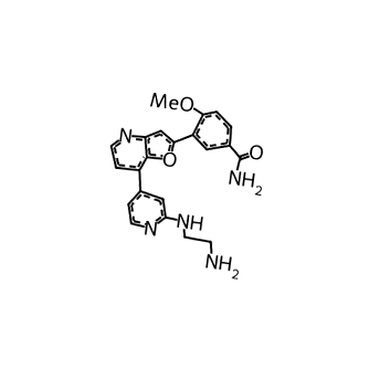 COc1ccc(C(N)=O)cc1-c1cc2nccc(-c3ccnc(NCCN)c3)c2o1